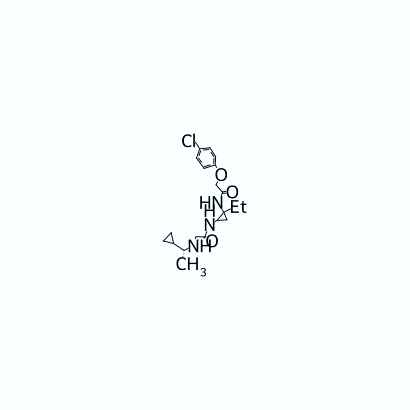 CCC1(NC(=O)COc2ccc(Cl)cc2)CC1NC(=O)CN[C@H](C)C1CC1